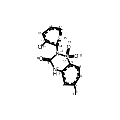 O=C1Nc2cc(F)ccc2S(=O)(=O)N1c1ccccc1Cl